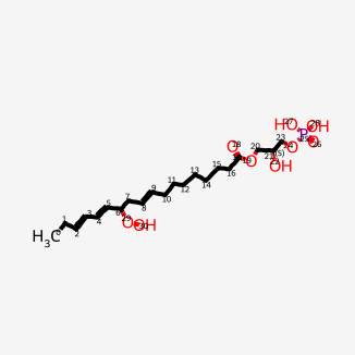 CCC=CC=CC(CC=CCCCCCCCC(=O)OC[C@H](O)COP(=O)(O)O)OO